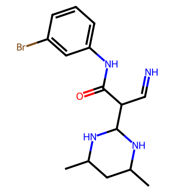 CC1CC(C)NC(C(C=N)C(=O)Nc2cccc(Br)c2)N1